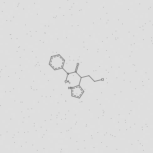 CN(C(=O)C(CCCl)c1ccc[nH]1)c1ccccc1